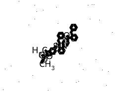 CCOC(=O)c1oc2ccc(SN(CCc3ccccc3)c3ccccc3N3CCN(C(=O)c4ccccc4Cc4ccccc4)CC3)cc2c1C